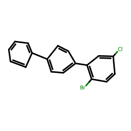 Clc1ccc(Br)c(-c2ccc(-c3ccccc3)cc2)c1